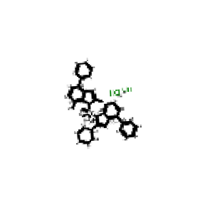 CC1=Cc2c(-c3ccccc3)ccc(C)c2[CH]1[Zr]([CH3])([CH3])(=[SiH2])[CH]1C(c2ccccc2)=Cc2c(-c3ccccc3)cccc21.Cl.Cl